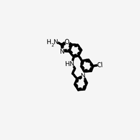 Nc1nc2c(NCCc3ccccn3)c(-c3cccc(Cl)c3)ccc2o1